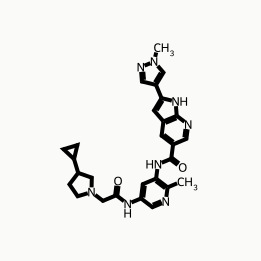 Cc1ncc(NC(=O)CN2CCC(C3CC3)C2)cc1NC(=O)c1cnc2[nH]c(-c3cnn(C)c3)cc2c1